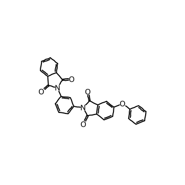 O=C1c2ccccc2C(=O)N1c1cccc(N2C(=O)c3ccc(Oc4ccccc4)cc3C2=O)c1